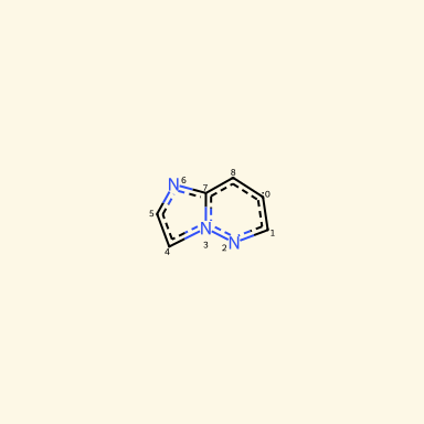 [c]1cnn2ccnc2c1